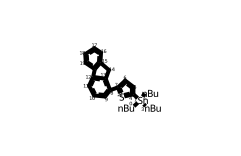 CCC[CH2][Sn]([CH2]CCC)([CH2]CCC)[c]1ccc(-c2cccc3c2Cc2ccccc2-3)s1